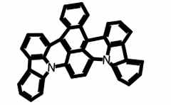 c1ccc2c(c1)c1c3cccc4c5ccccc5n(c5ccc6c(c2c2cccc7c8ccccc8n6c72)c15)c43